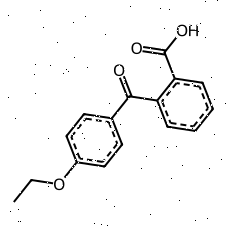 CCOc1ccc(C(=O)c2ccccc2C(=O)O)cc1